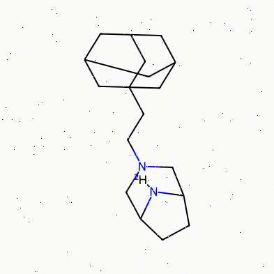 [2H]N1C2CCC1CN(CCC13CC4CC(CC(C4)C1)C3)C2